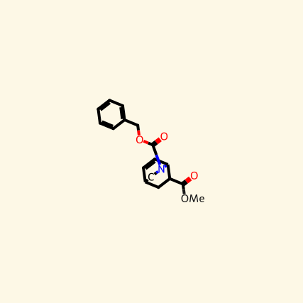 COC(=O)C1CC2C=CC1N(C(=O)OCc1ccccc1)C2